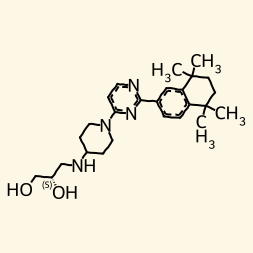 CC1(C)CCC(C)(C)c2cc(-c3nccc(N4CCC(NC[C@H](O)CO)CC4)n3)ccc21